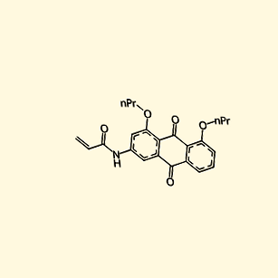 C=CC(=O)Nc1cc(OCCC)c2c(c1)C(=O)c1cccc(OCCC)c1C2=O